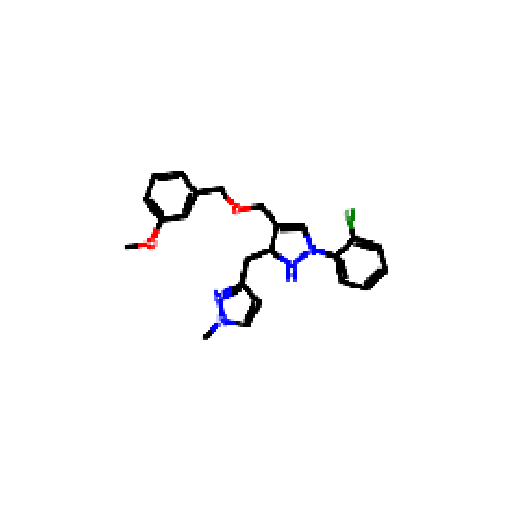 COc1cccc(COCC2=CN(c3ccccc3Cl)NC2Cc2ccn(C)n2)c1